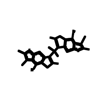 CC1=C(C(C)(C)C2=C(C)Cc3c2cc2sc(C)c(C)c2c3Br)c2cc3sc(C)c(C)c3c(Br)c2C1